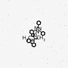 C/C=C(\c1oc2c(-c3nc(-c4ccccc4)nc(-c4ccccc4)n3)cccc2c1C)n1c2ccccc2c2ccccc21